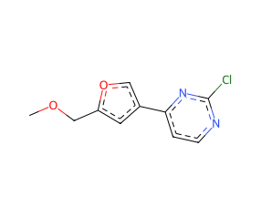 COCc1cc(-c2ccnc(Cl)n2)co1